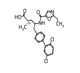 CCc1ncc(C(=O)NC(Cc2ccc(-c3cc(Cl)ccc3Cl)cc2)C[C@H](C)C(=O)O)o1